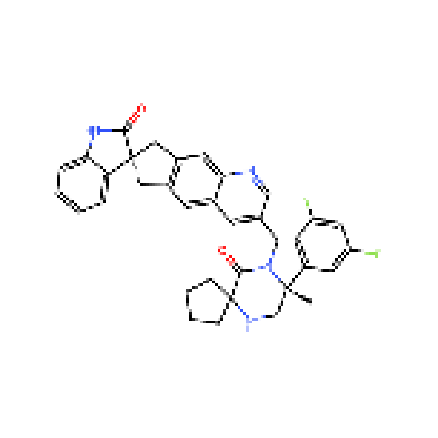 C[C@@]1(c2cc(F)cc(F)c2)CNC2(CCCC2)C(=O)N1Cc1cnc2cc3c(cc2c1)C[C@@]1(C3)C(=O)Nc2ccccc21